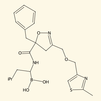 Cc1nc(COCC2=NOC(Cc3ccccc3)(C(=O)NC(CC(C)C)B(O)O)C2)cs1